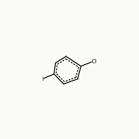 Clc1[c]cc(I)c[c]1